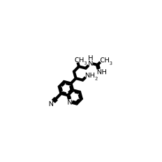 CC(=N)NCC(C)CC(CN)c1ccc(C#N)c2ncccc12